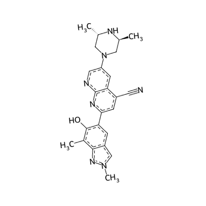 Cc1c(O)c(-c2cc(C#N)c3cc(N4C[C@H](C)N[C@@H](C)C4)cnc3n2)cc2cn(C)nc12